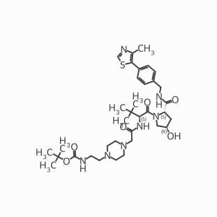 Cc1ncsc1-c1ccc(CNC(=O)[C@@H]2C[C@@H](O)CN2C(=O)[C@@H](NC(=O)CN2CCN(CCNC(=O)OC(C)(C)C)CC2)C(C)(C)C)cc1